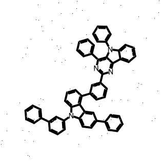 c1ccc(-c2cccc(-n3c4ccc(-c5ccccc5)cc4c4c(-c5cccc(-c6nc(-c7ccccc7)c7c(n6)c6ccccc6n7-c6ccccc6)c5)cccc43)c2)cc1